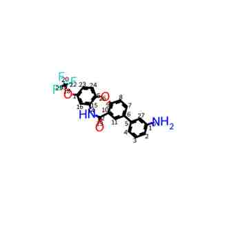 Nc1cccc(-c2ccc3c(c2)C(=O)Nc2cc(OC(F)(F)F)ccc2O3)c1